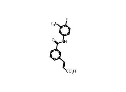 O=C(O)/C=C/c1cccc(C(=O)Nc2ccc(F)c(C(F)(F)F)c2)c1